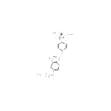 CC(C)OP(=O)(OC(C)C)c1ccc(Cn2cnc3cc(C(N)=O)ccc32)cc1